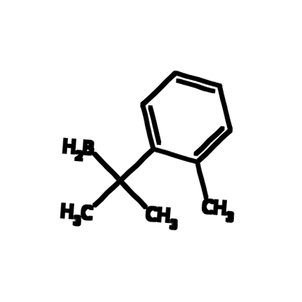 BC(C)(C)c1ccccc1C